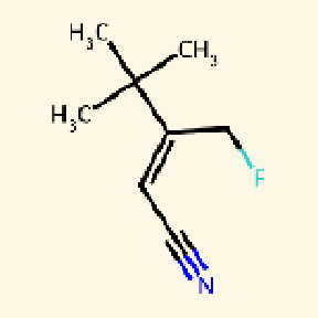 CC(C)(C)C(=CC#N)CF